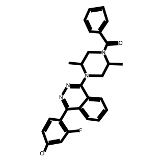 CC1CN(c2nnc(-c3ccc(Cl)cc3F)c3ccccc23)C(C)CN1C(=O)c1ccccc1